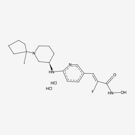 Cl.Cl.O=C(NO)C(F)=Cc1ccc(N[C@@H]2CCCN(C3(I)CCCC3)C2)nc1